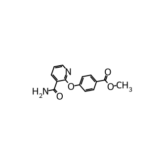 COC(=O)c1ccc(Oc2ncccc2C(N)=O)cc1